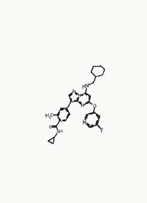 Cc1cc(-c2cnn3c(NCC4CCCCC4)cc(Oc4cncc(F)c4)nc23)ccc1C(=O)NC1CC1